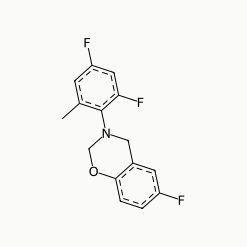 Cc1cc(F)cc(F)c1N1COc2ccc(F)cc2C1